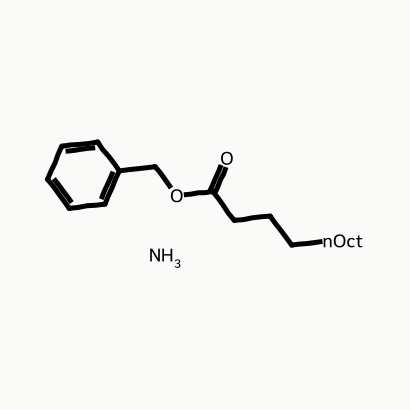 CCCCCCCCCCCC(=O)OCc1ccccc1.N